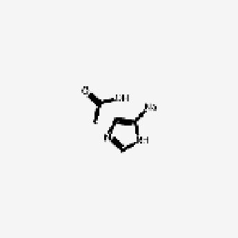 CC(=O)O.[Na][c]1cnc[nH]1